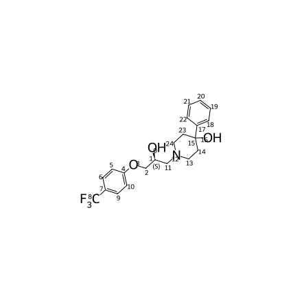 O[C@H](COc1ccc(C(F)(F)F)cc1)CN1CCC(O)(c2ccccc2)CC1